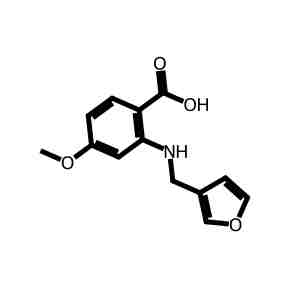 COc1ccc(C(=O)O)c(NCc2ccoc2)c1